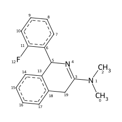 CN(C)C1=NC(c2ccccc2F)c2ccccc2C1